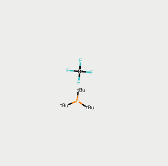 CC(C)(C)P(C(C)(C)C)C(C)(C)C.F[B-](F)(F)F